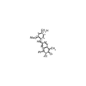 CCC1C(=O)N(C)c2cnc(Nc3ccc(C(=O)O)cc3OC)nc2N1C(C)C